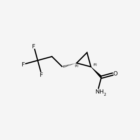 NC(=O)[C@@H]1C[C@H]1CCC(F)(F)F